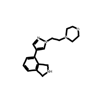 c1cc2c(c(-c3cnn(CCN4CCOCC4)c3)c1)CNC2